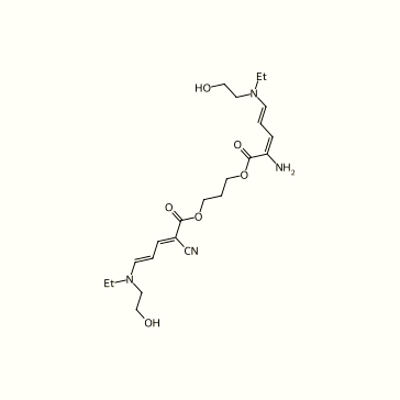 CCN(/C=C/C=C(/N)C(=O)OCCCOC(=O)/C(C#N)=C/C=C/N(CC)CCO)CCO